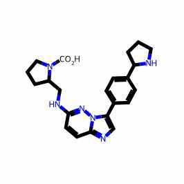 O=C(O)N1CCCC1CNc1ccc2ncc(-c3ccc(C4CCCN4)cc3)n2n1